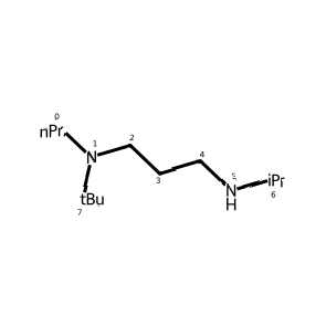 CCCN(CCCNC(C)C)C(C)(C)C